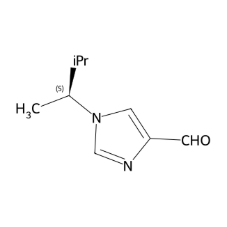 CC(C)[C@H](C)n1cnc(C=O)c1